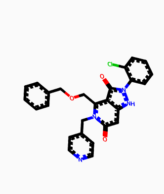 O=c1c2c(COCc3ccccc3)n(Cc3ccncc3)c(=O)cc2[nH]n1-c1ccccc1Cl